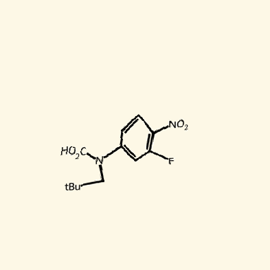 CC(C)(C)CN(C(=O)O)c1ccc([N+](=O)[O-])c(F)c1